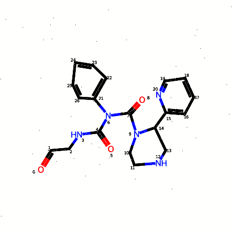 O=[C]CNC(=O)N(C(=O)N1CCNCC1c1ccccn1)c1ccccc1